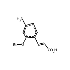 CCOc1cc(N)ccc1C=CC(=O)O